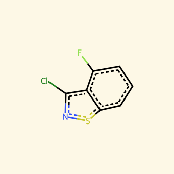 Fc1cccc2snc(Cl)c12